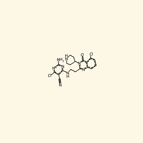 N#Cc1c(Cl)nc(N)nc1NCCc1nc2cccc(Cl)c2c(=O)n1C1CCNCC1